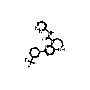 O=C(Nc1cccnn1)N1CCCNc2ccc(C3CCCC(C(F)(F)F)C3)nc21